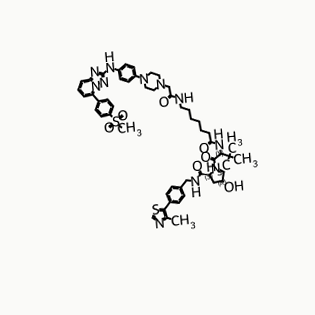 Cc1ncsc1-c1ccc(CNC(=O)[C@@H]2C[C@@H](O)CN2C(=O)[C@@H](NC(=O)CCCCCCNC(=O)CN2CCN(c3ccc(Nc4nc5cccc(-c6ccc(S(C)(=O)=O)cc6)n5n4)cc3)CC2)C(C)(C)C)cc1